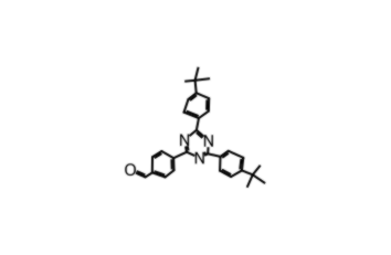 CC(C)(C)c1ccc(-c2nc(-c3ccc(C=O)cc3)nc(-c3ccc(C(C)(C)C)cc3)n2)cc1